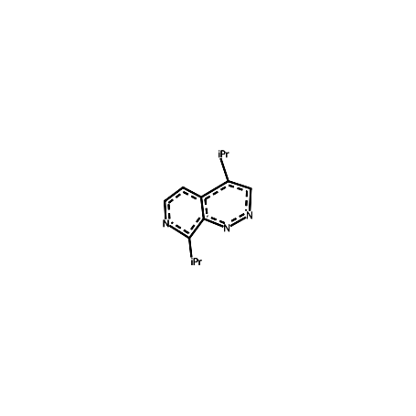 CC(C)c1cnnc2c(C(C)C)nccc12